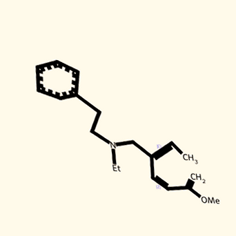 C=C(/C=C\C(=C/C)CN(CC)CCc1ccccc1)OC